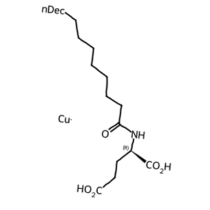 CCCCCCCCCCCCCCCCCC(=O)N[C@H](CCC(=O)O)C(=O)O.[Cu]